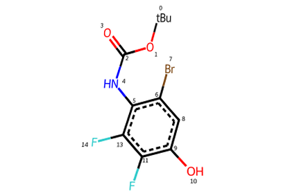 CC(C)(C)OC(=O)Nc1c(Br)cc(O)c(F)c1F